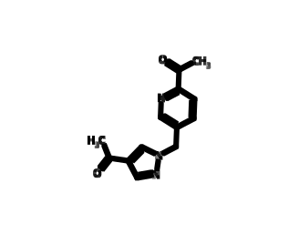 CC(=O)c1cnn(Cc2ccc(C(C)=O)nc2)c1